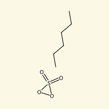 CCCCCC.O=S1(=O)OO1